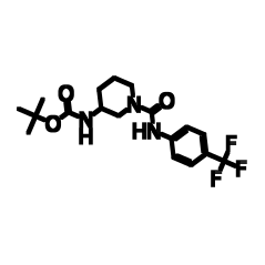 CC(C)(C)OC(=O)NC1CCCN(C(=O)Nc2ccc(C(F)(F)F)cc2)C1